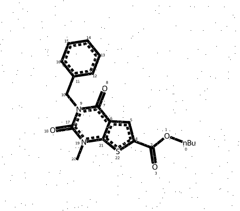 CCCCOC(=O)c1cc2c(=O)n(Cc3ccccc3)c(=O)n(C)c2s1